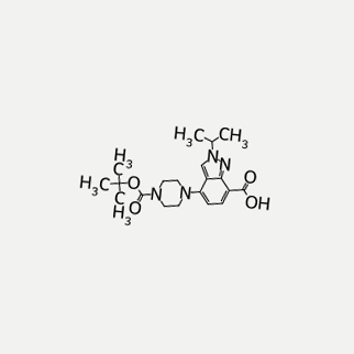 CC(C)n1cc2c(N3CCN(C(=O)OC(C)(C)C)CC3)ccc(C(=O)O)c2n1